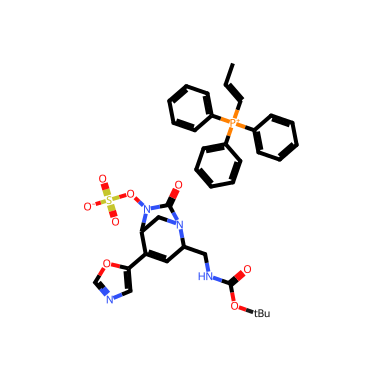 C/C=C/[P+](c1ccccc1)(c1ccccc1)c1ccccc1.CC(C)(C)OC(=O)NCC1C=C(c2cnco2)C2CN1C(=O)N2OS(=O)(=O)[O-]